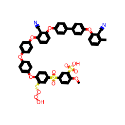 COc1ccc(S(=O)(=O)c2ccc(Oc3ccc(Oc4ccc(Oc5cccc(Oc6ccc(-c7ccc(Oc8cccc(C)c8C#N)cc7)cc6)c5C#N)cc4)cc3)c(SOOO)c2)cc1S(=O)(=O)O